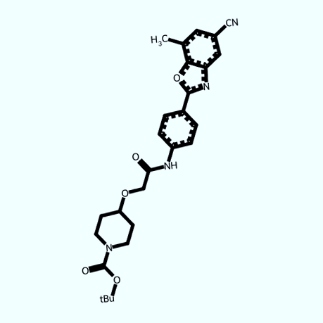 Cc1cc(C#N)cc2nc(-c3ccc(NC(=O)COC4CCN(C(=O)OC(C)(C)C)CC4)cc3)oc12